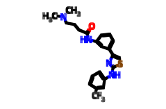 CN(C)CCCC(=O)Nc1cccc(-c2csc(Nc3cccc(C(F)(F)F)c3)n2)c1